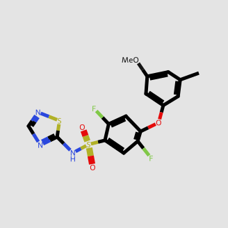 COc1cc(C)cc(Oc2cc(F)c(S(=O)(=O)Nc3ncns3)cc2F)c1